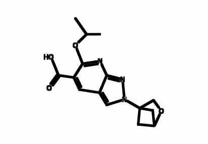 CC(C)Oc1nc2nn(C34COC(C3)C4)cc2cc1C(=O)O